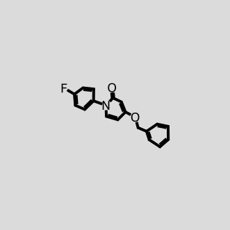 O=c1cc(OCc2ccccc2)ccn1-c1ccc(F)cc1